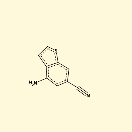 N#Cc1cc(N)c2ccsc2c1